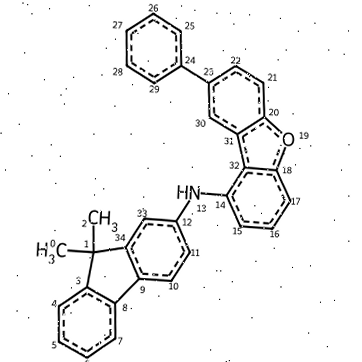 CC1(C)c2ccccc2-c2ccc(Nc3cccc4oc5ccc(-c6ccccc6)cc5c34)cc21